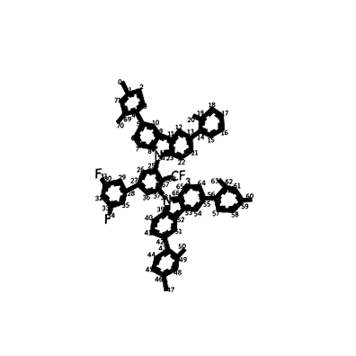 Cc1ccc(-c2ccc3c(c2)c2cc(-c4ccccc4C)ccc2n3-c2cc(-c3cc(F)cc(F)c3)cc(-n3c4ccc(-c5ccc(C)cc5C)cc4c4cc(-c5ccc(C)cc5C)ccc43)c2C(F)(F)F)c(C)c1